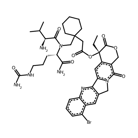 CC[C@@]1(OC(=O)CC2(CN(C(=O)[C@@H](N)C(C)C)[C@@H](CCCNC(N)=O)C(N)=O)CCCCC2)C(=O)OCc2c1cc1n(c2=O)Cc2cc3c(Br)cccc3nc2-1